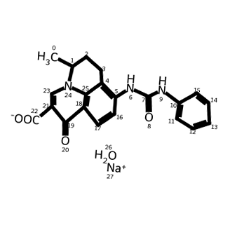 CC1CCc2c(NC(=O)Nc3ccccc3)ccc3c(=O)c(C(=O)[O-])cn1c23.O.[Na+]